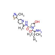 Cc1ncsc1-c1ccc([C@H](C)NC(=O)[C@@H]2C[C@@H](O)CN2C(=O)[C@@H](N)C(C)(C)C)nc1